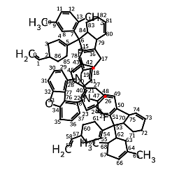 C=CC1CC=C(C2(c3cc(C)ccc3C)C3=C(CCC(N(C4=CC=C(F)CC4)c4cccc5oc6cccc(N(C7C=CC(F)=CC7)C7C=CC8=C(C7)C(C7=CCC(C=C)CC7)(C7CC(C)=CCC7C)C7CCC=CC87)c6c45)=C3)C3C=CCCC32)CC1